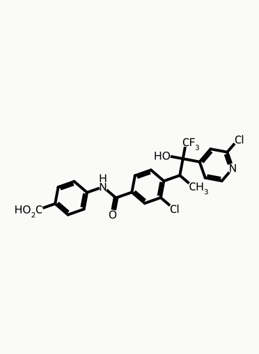 CC(c1ccc(C(=O)Nc2ccc(C(=O)O)cc2)cc1Cl)C(O)(c1ccnc(Cl)c1)C(F)(F)F